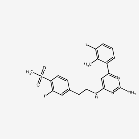 Cc1c(I)cccc1-c1cc(NCCc2ccc(S(C)(=O)=O)c(F)c2)nc(N)n1